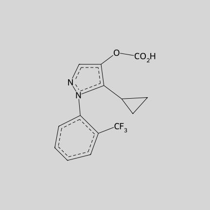 O=C(O)Oc1cnn(-c2ccccc2C(F)(F)F)c1C1CC1